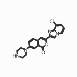 O=c1oc(-c2cn3cccc(Cl)c3n2)cc2ccc(N3CCNCC3)cc12